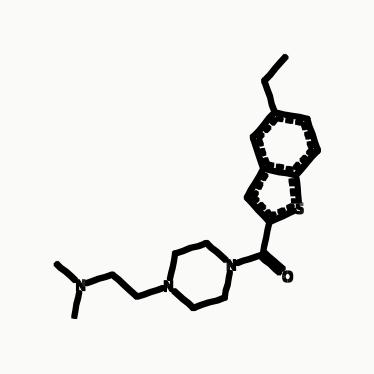 CCc1ccc2sc(C(=O)N3CCN(CCN(C)C)CC3)cc2c1